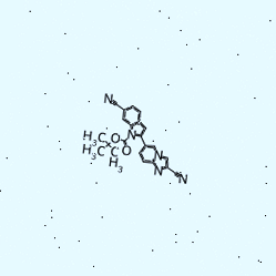 CC(C)(C)OC(=O)n1c(-c2ccc3nc(C#N)cn3c2)cc2ccc(C#N)cc21